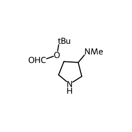 CC(C)(C)OC=O.CNC1CCNC1